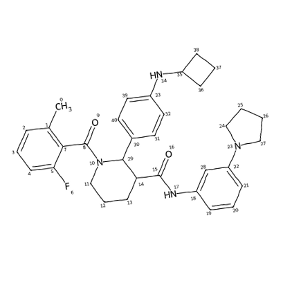 Cc1cccc(F)c1C(=O)N1CCCC(C(=O)Nc2cccc(N3CCCC3)c2)C1c1ccc(NC2CCC2)cc1